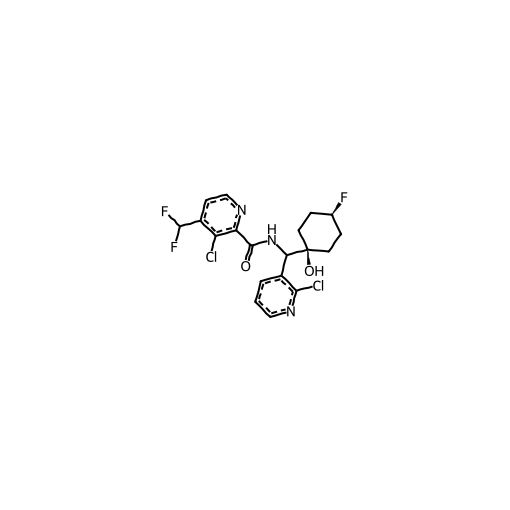 O=C(NC(c1cccnc1Cl)[C@]1(O)CC[C@@H](F)CC1)c1nccc(C(F)F)c1Cl